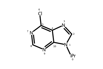 CC(C)n1cnc2c(Cl)ncnc21